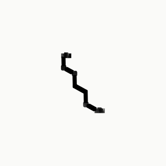 CCCCOCCOOCCCC